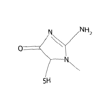 CN1C(N)=NC(=O)C1S